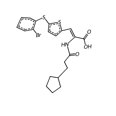 O=C(CCC1CCCC1)NC(=Cc1ccc(Sc2ccccc2Br)s1)C(=O)O